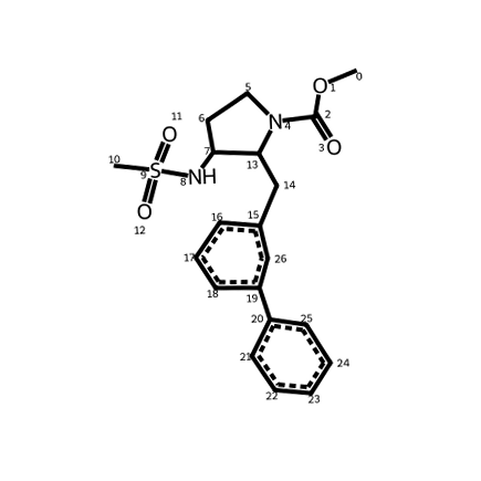 COC(=O)N1CCC(NS(C)(=O)=O)C1Cc1cccc(-c2ccccc2)c1